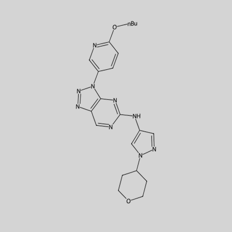 CCCCOc1ccc(-n2nnc3cnc(Nc4cnn(C5CCOCC5)c4)nc32)cn1